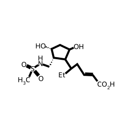 CCC(CC=CC(=O)O)C1C(O)C[C@@H](O)[C@H]1CNS(C)(=O)=O